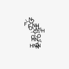 Cc1c(C(=O)C(=O)NC2(c3c[nH]nn3)CC2)c2n(c1C(=O)Nc1ccnc(C(C)F)c1F)[C@@H]1C[C@@H]1C2